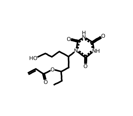 C=CC(=O)OC(CC)CC(CCCO)n1c(=O)[nH]c(=O)[nH]c1=O